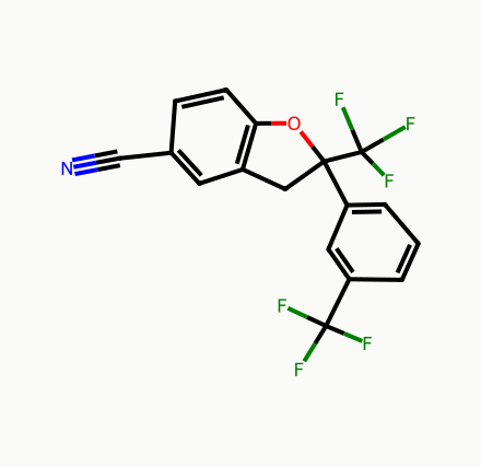 N#Cc1ccc2c(c1)CC(c1cccc(C(F)(F)F)c1)(C(F)(F)F)O2